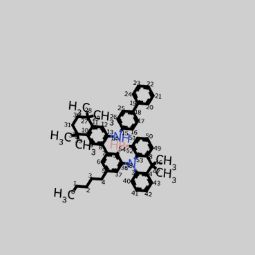 CCCCCc1cc(-c2cc3c(cc2Nc2ccc(-c4ccccc4)cc2)C(C)(C)CCC3(C)C)c2c(c1)N1c3ccccc3C(C)(C)c3cccc(c31)B2